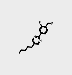 CCCCCc1cnc(-c2ccc(CF)c(F)c2)nc1